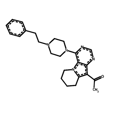 CC(=O)c1c2n(c3c(N4CCN(CCc5ccccc5)CC4)ncnc13)CCCC2